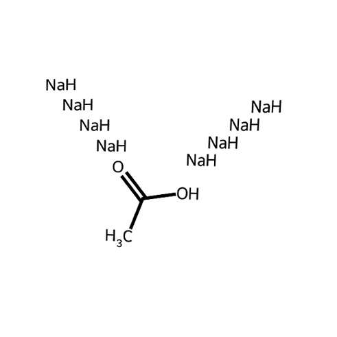 CC(=O)O.[NaH].[NaH].[NaH].[NaH].[NaH].[NaH].[NaH].[NaH]